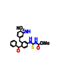 COC(=O)NC(=S)Nc1ccc(C(=O)c2ccccc2)c(CC2=CC(=N)C([N+](=O)[O-])C=C2)c1